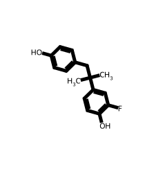 CC(C)(Cc1ccc(O)cc1)c1ccc(O)c(F)c1